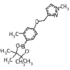 Cc1cc(OCc2ccn(C)n2)ccc1B1OC(C)(C)C(C)(C)O1